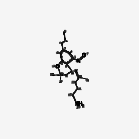 CCCc1cc(N=O)c2c(c1)OC(C)(C)CC2/C=C(/C)CCCN